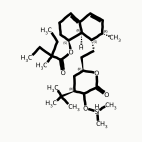 CCC(C)(CC)C(=O)O[C@H]1CCC=C2C=C[C@H](C)[C@H](CC[C@@H]3C[C@H](C(C)(C)C)C(O[SiH](C)C)C(=O)O3)[C@H]21